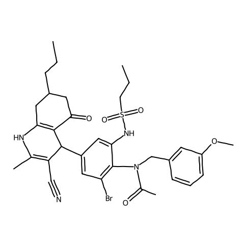 CCCC1CC(=O)C2=C(C1)NC(C)=C(C#N)C2c1cc(Br)c(N(Cc2cccc(OC)c2)C(C)=O)c(NS(=O)(=O)CCC)c1